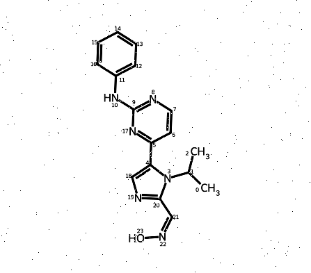 CC(C)n1c(-c2ccnc(Nc3ccccc3)n2)cnc1/C=N\O